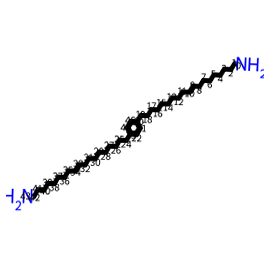 NCCCCCCCCC=CCCCCCCCCCc1ccc(CCCCCCCCCC=CCCCCCCCCN)cc1